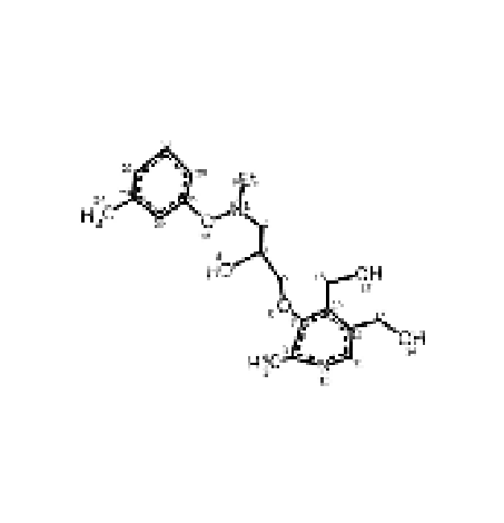 CCN(CC(O)COc1c(C)ncc(CO)c1CO)Oc1cccc(C)c1